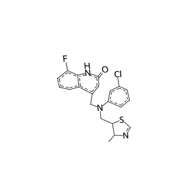 CC1N=CSC1CN(Cc1cc(=O)[nH]c2c(F)cccc12)c1cccc(Cl)c1